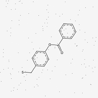 O=C(Oc1ccc(C[S])cc1)c1ccccc1